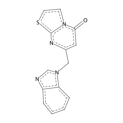 O=c1cc(Cn2cnc3ccccc32)nc2sccn12